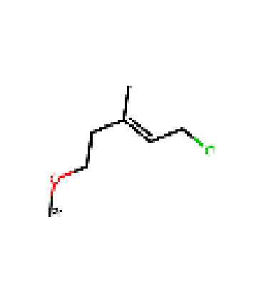 CC(=CCCl)CCOC(C)C